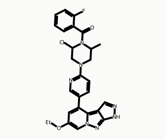 CCOc1cc(-c2ccc(N3CC(C)N(C(=O)c4ccccc4F)C(Cl)C3)nc2)c2c3cn[nH]c3nn2c1